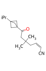 CC(C)C12CC(C(=O)CC(C)(C)C/C=C\C#N)(C1)C2